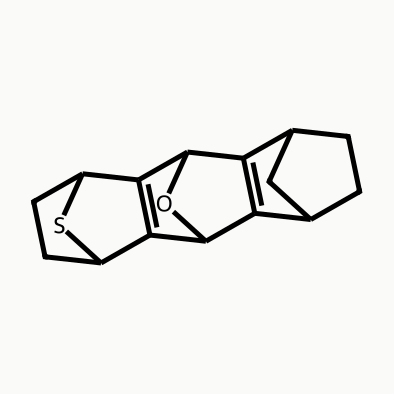 C1CC2CC1C1=C2C2OC1C1=C2C2CCC1S2